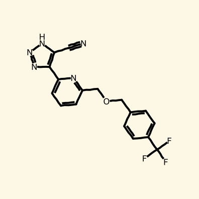 N#Cc1[nH]nnc1-c1cccc(COCc2ccc(C(F)(F)F)cc2)n1